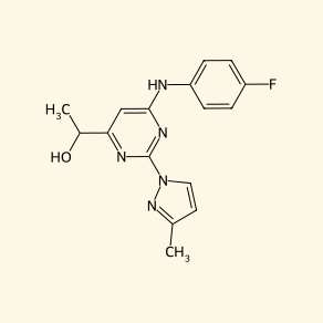 Cc1ccn(-c2nc(Nc3ccc(F)cc3)cc(C(C)O)n2)n1